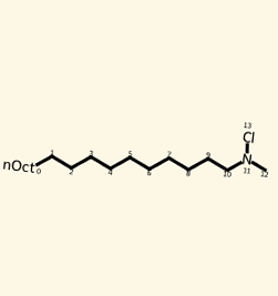 CCCCCCCCCCCCCCCCCCN(C)Cl